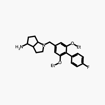 CCOc1cc(CN2CCC3C(N)CCC32)cc(OCC)c1-c1ccc(F)cc1